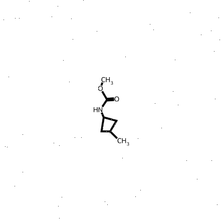 COC(=O)NC1C[C](C)C1